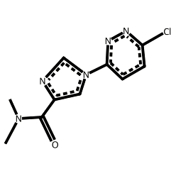 CN(C)C(=O)c1cn(-c2ccc(Cl)nn2)cn1